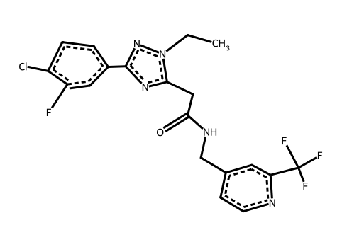 CCn1nc(-c2ccc(Cl)c(F)c2)nc1CC(=O)NCc1ccnc(C(F)(F)F)c1